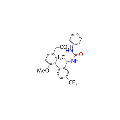 COc1ccc(CC(=O)O)cc1-c1ccc(C(F)(F)F)cc1C(C)NC(=O)Nc1ccccc1